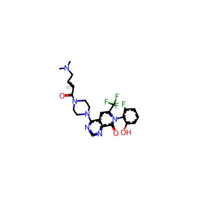 CN(C)C/C=C/C(=O)N1CCN(c2ncnc3c(=O)n(-c4c(O)cccc4F)c(C(F)(F)F)cc23)CC1